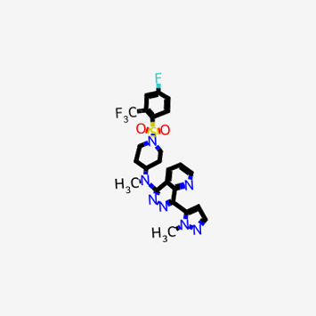 CN(c1nnc(-c2ccnn2C)c2ncccc12)C1CCN(S(=O)(=O)c2ccc(F)cc2C(F)(F)F)CC1